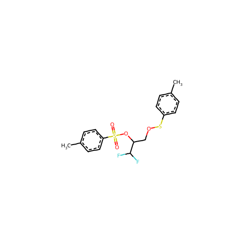 Cc1ccc(SOCC(OS(=O)(=O)c2ccc(C)cc2)C(F)F)cc1